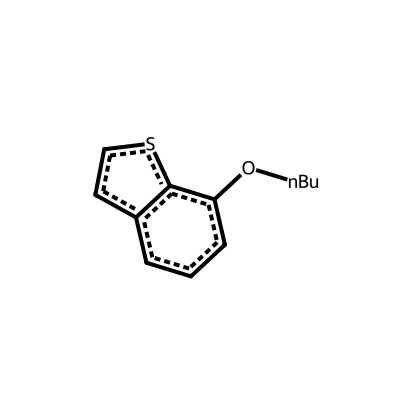 CCCCOc1cccc2ccsc12